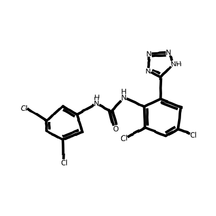 O=C(Nc1cc(Cl)cc(Cl)c1)Nc1c(Cl)cc(Cl)cc1-c1nnn[nH]1